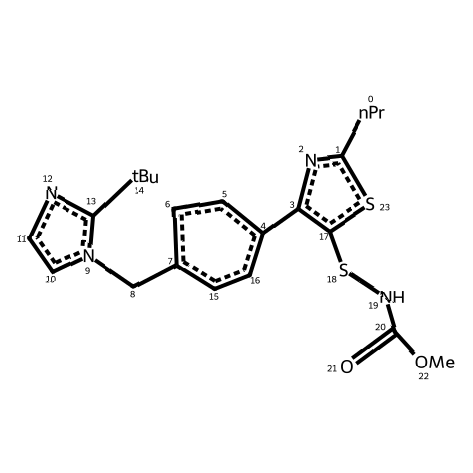 CCCc1nc(-c2ccc(Cn3ccnc3C(C)(C)C)cc2)c(SNC(=O)OC)s1